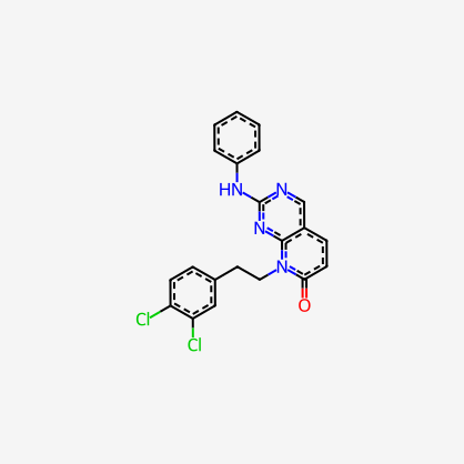 O=c1ccc2cnc(Nc3ccccc3)nc2n1CCc1ccc(Cl)c(Cl)c1